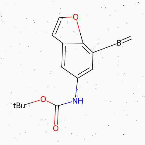 C=Bc1cc(NC(=O)OC(C)(C)C)cc2ccoc12